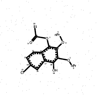 CCCOc1c(OCCC)c(OC(=O)CC)c2ccc(Cl)cc2c1O